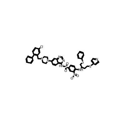 O=[N+]([O-])c1cc(S(=O)(=O)Nc2ncnc3cc(N4CCN(Cc5cc(Cl)ccc5-c5ccccc5)CC4)ccc23)ccc1NC(CCSc1ccncc1)CSc1ccccc1